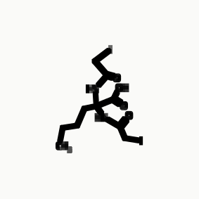 CCCCC(NC(=O)CI)(NC(=O)CI)C(=O)O